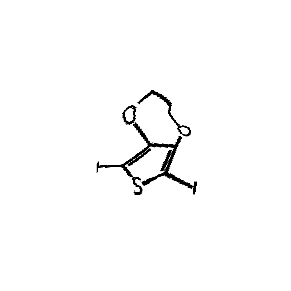 Ic1sc(I)c2c1OCCO2